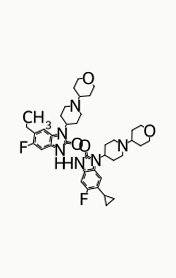 CCc1cc2c(cc1F)[nH]c(=O)n2C1CCN(C2CCOCC2)CC1.O=c1[nH]c2cc(F)c(C3CC3)cc2n1C1CCN(C2CCOCC2)CC1